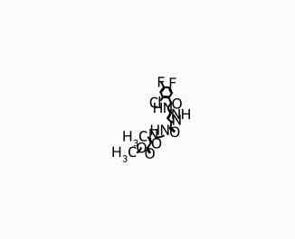 CCOC(=O)c1oc(CNC(=O)c2cc(NC(=O)c3cc(F)c(F)cc3Cl)[nH]n2)nc1C